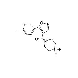 Cc1ccc(-c2oncc2C(=O)N2CCC(F)(F)CC2)cc1